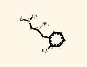 CCN(C)C[C@H](N)Cc1ccccc1C